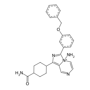 NC(=O)C1CCC(C2=C3C=NC=C[N+]3(N)C(c3cccc(OCc4ccccc4)c3)=N2)CC1